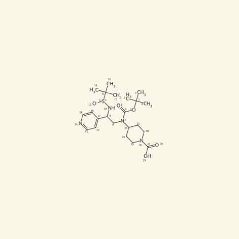 CC(C)(C)OC(=O)N(CC(N[S+]([O-])C(C)(C)C)c1ccncc1)C1CCN(C(=O)O)CC1